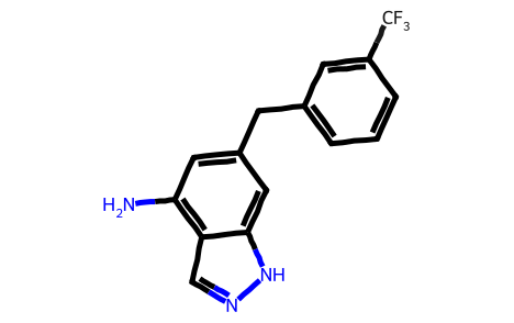 Nc1cc(Cc2cccc(C(F)(F)F)c2)cc2[nH]ncc12